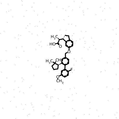 COc1ccc(F)c(-c2ccc(COc3ccc4c(c3)[C@H]([C@H](C)C(=O)O)CC4)cc2[C@H]2CCCC2(C)C)c1